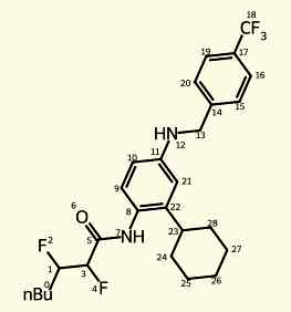 CCCCC(F)C(F)C(=O)Nc1ccc(NCc2ccc(C(F)(F)F)cc2)cc1C1CCCCC1